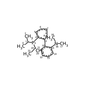 CC(C)P(c1ccccc1-c1ccccc1N(C)C)C(C)C